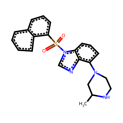 CC1CN(c2cccc3c2ncn3S(=O)(=O)c2cccc3ccccc23)CCN1